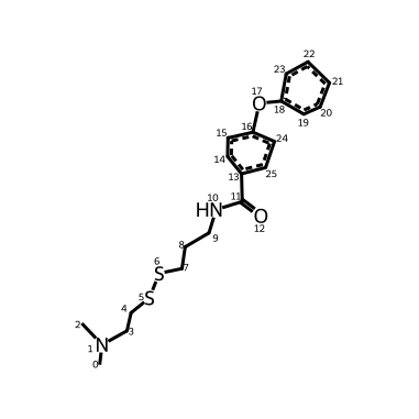 CN(C)CCSSCCCNC(=O)c1ccc(Oc2ccccc2)cc1